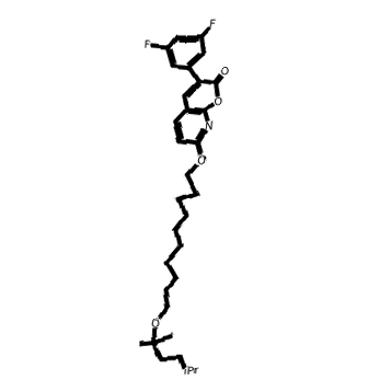 CC(C)CCC(C)(C)OCCCCCCCCCCOc1ccc2cc(-c3cc(F)cc(F)c3)c(=O)oc2n1